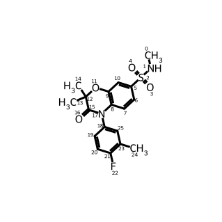 CNS(=O)(=O)c1ccc2c(c1)OC(C)(C)C(=O)N2c1ccc(F)c(C)c1